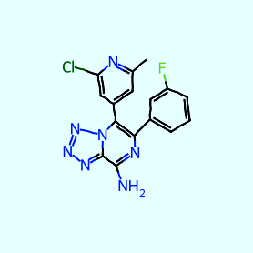 Cc1cc(-c2c(-c3cccc(F)c3)nc(N)c3nnnn23)cc(Cl)n1